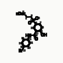 CCCCCCCCCCCCS(=O)(=O)c1ccc(O)c(C(=O)Nc2ccc(Br)cc2)c1